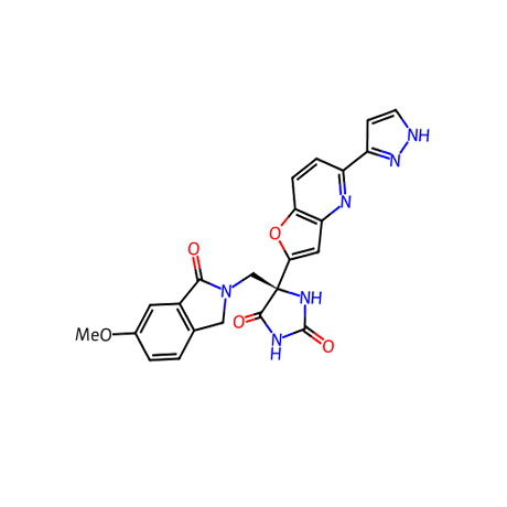 COc1ccc2c(c1)C(=O)N(C[C@@]1(c3cc4nc(-c5cc[nH]n5)ccc4o3)NC(=O)NC1=O)C2